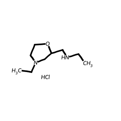 CCNCC1CN(CC)CCO1.Cl